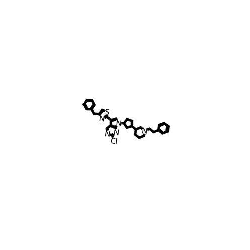 Clc1ncc2c(-c3nc(Cc4ccccc4)cs3)cn(C3CCC(C4CCCN(CCc5ccccc5)C4)C3)c2n1